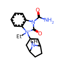 CC[N+]1(C2CC3CCC(C2)N3C)C(=O)N(C(N)=O)c2ccccc21